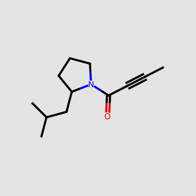 CC#CC(=O)N1CCCC1CC(C)C